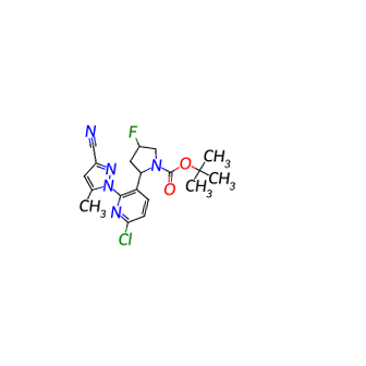 Cc1cc(C#N)nn1-c1nc(Cl)ccc1C1CC(F)CN1C(=O)OC(C)(C)C